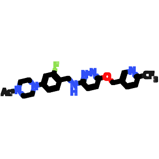 CC(=O)N1CCN(c2ccc(CNc3ccc(OCc4ccc(C(F)(F)F)nc4)nn3)c(F)c2)CC1